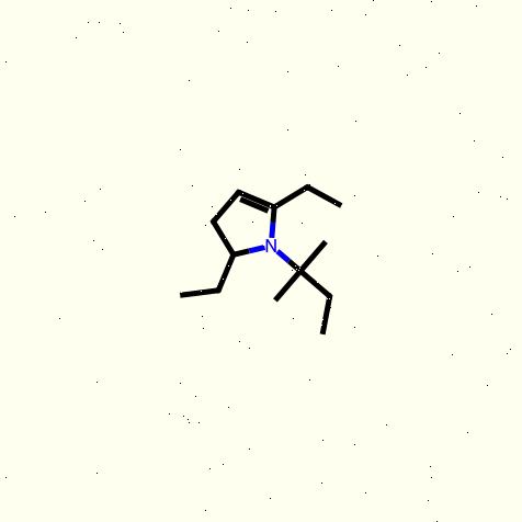 CCC1=CCC(CC)N1C(C)(C)CC